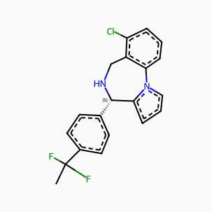 CC(F)(F)c1ccc([C@@H]2NCc3c(Cl)cccc3-n3cccc32)cc1